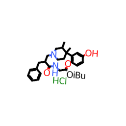 CC(C)COC(=O)CNC(=O)C(Cc1ccccc1)CN1CCC(C)(c2cccc(O)c2)C(C)C1.Cl